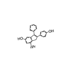 CCCc1cc(O)cc2c1CC(c1ccc(O)cc1)=C2c1ccccc1